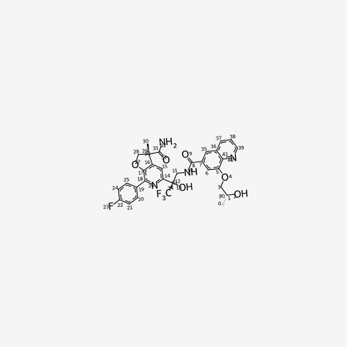 C[C@@H](O)COc1cc(C(=O)NC[C@](O)(c2cc3c(c(-c4ccc(F)cc4)n2)OC[C@]3(C)C(N)=O)C(F)(F)F)cc2cccnc12